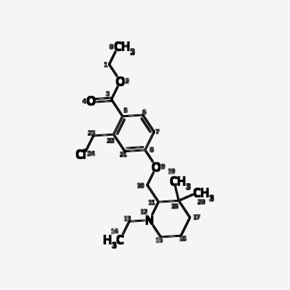 CCOC(=O)c1ccc(OCC2N(CC)CCCC2(C)C)cc1CCl